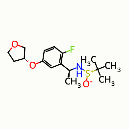 C[C@H](N[S+]([O-])C(C)(C)C)c1cc(O[C@@H]2CCOC2)ccc1F